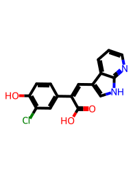 O=C(O)C(=Cc1c[nH]c2ncccc12)c1ccc(O)c(Cl)c1